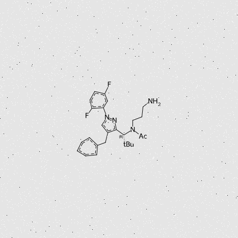 CC(=O)N(CCCN)[C@@H](c1nn(-c2cc(F)ccc2F)cc1Cc1ccccc1)C(C)(C)C